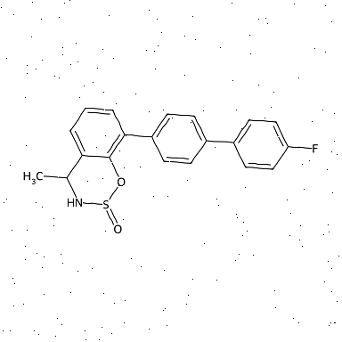 CC1NS(=O)Oc2c(-c3ccc(-c4ccc(F)cc4)cc3)cccc21